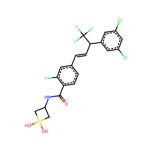 O=C(NC1CS(O)(O)C1)c1ccc(/C=C/C(c2cc(Cl)cc(Cl)c2)C(F)(F)F)cc1F